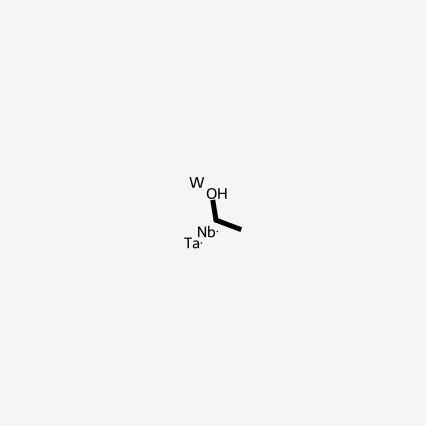 CCO.[Nb].[Ta].[W]